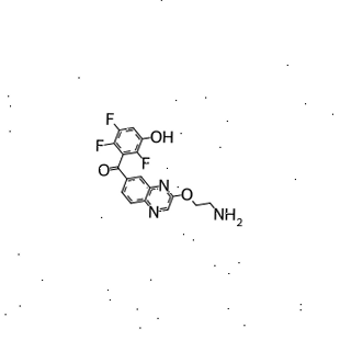 NCCOc1cnc2ccc(C(=O)c3c(F)c(O)cc(F)c3F)cc2n1